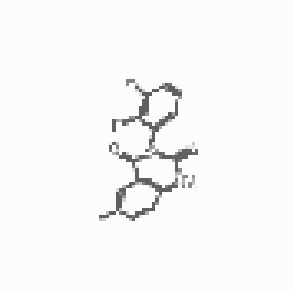 O=c1c2cc(I)ccc2[nH]c(=S)n1-c1cccc(F)c1F